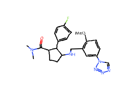 COc1ccc(-n2cnnn2)cc1CNC1CCC(C(=O)N(C)C)C1c1ccc(F)cc1